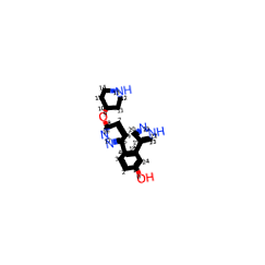 Oc1ccc(-c2ccc(OC3CCNCC3)nn2)c(-c2cn[nH]c2)c1